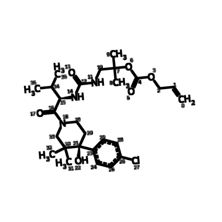 C=CCOC(=O)OC(C)(C)CNC(=O)N[C@@H](C(=O)N1CC[C@](O)(c2ccc(Cl)cc2)C(C)(C)C1)C(C)C